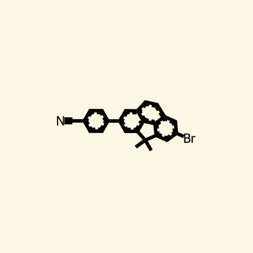 CC1(C)c2cc(Br)cc3ccc4cc(-c5ccc(C#N)cc5)cc1c4c23